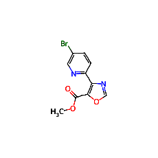 COC(=O)c1ocnc1-c1ccc(Br)cn1